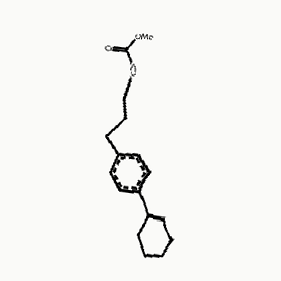 COC(=O)OCCCc1ccc(C2CCCCC2)cc1